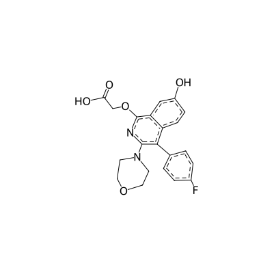 O=C(O)COc1nc(N2CCOCC2)c(-c2ccc(F)cc2)c2ccc(O)cc12